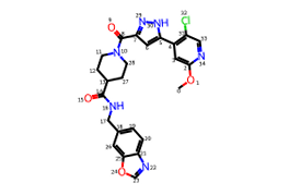 COc1cc(-c2cc(C(=O)N3CCC(C(=O)NCc4ccc5ncoc5c4)CC3)n[nH]2)c(Cl)cn1